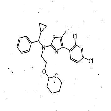 Cc1sc(N(CCOC2CCCCO2)C(c2ccccc2)C2CC2)nc1-c1ccc(Cl)cc1Cl